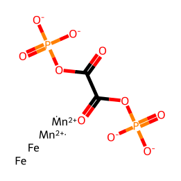 O=C(OP(=O)([O-])[O-])C(=O)OP(=O)([O-])[O-].[Fe].[Fe].[Mn+2].[Mn+2]